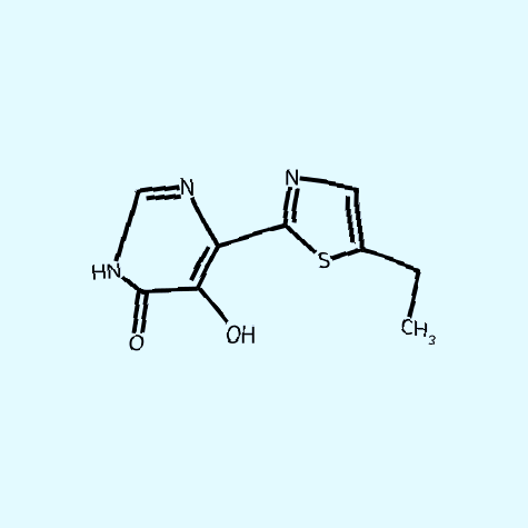 CCc1cnc(-c2nc[nH]c(=O)c2O)s1